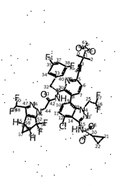 CC(C)(C#Cc1ccc(-c2ccc(Cl)c3c(NS(=O)(=O)C4CC4)nn(CC(F)F)c23)c([C@H](Cc2cc(F)cc(F)c2)NC(=O)Cn2nc(C(F)F)c3c2C(F)(F)[C@@H]2C[C@H]32)n1)S(C)(=O)=O